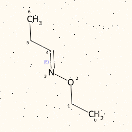 [CH2]CO/N=C/CC